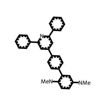 CNc1ccc(NC)c(-c2ccc(-c3cc(-c4ccccc4)nc(-c4ccccc4)c3)cc2)c1